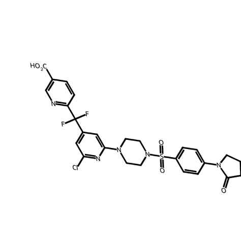 O=C(O)c1ccc(C(F)(F)c2cc(Cl)nc(N3CCN(S(=O)(=O)c4ccc(N5CCCC5=O)cc4)CC3)c2)nc1